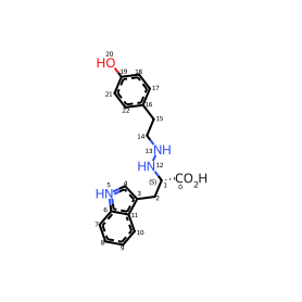 O=C(O)[C@H](Cc1c[nH]c2ccccc12)NNCCc1ccc(O)cc1